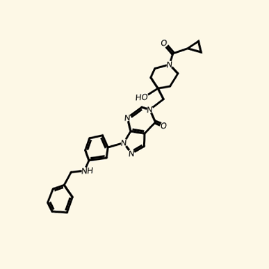 O=C(C1CC1)N1CCC(O)(Cn2cnc3c(cnn3-c3cccc(NCc4ccccc4)c3)c2=O)CC1